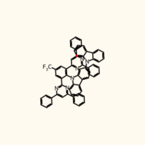 FC(F)(F)c1cc(-c2cc(-c3ccccc3)nc(-c3ccccc3)n2)c(-n2c3ccccc3c3ccc(-n4c5ccccc5c5ccccc54)cc32)c(-c2nc(-c3ccccc3)cc(-c3ccccc3)n2)c1